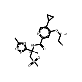 Cc1nc([C@@](C)(CS(C)(=O)=O)NC(=O)c2cc(O[C@H](C)CF)c(C3CC3)cn2)no1